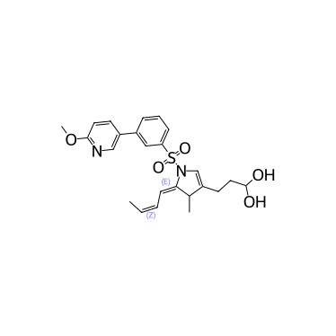 C/C=C\C=C1/C(C)C(CCC(O)O)=CN1S(=O)(=O)c1cccc(-c2ccc(OC)nc2)c1